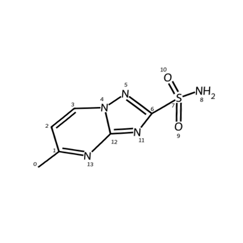 Cc1ccn2nc(S(N)(=O)=O)nc2n1